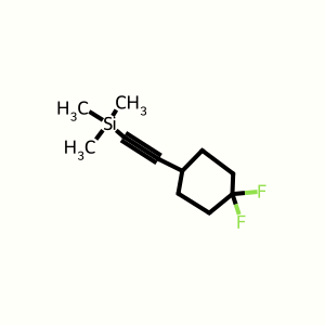 C[Si](C)(C)C#CC1CCC(F)(F)CC1